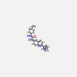 CC(C)c1ccc(NC(=O)Nc2ccc3nc(N4CC5CCC4CC5)ccc3c2)cc1